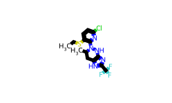 CCSc1ccc(Cl)nc1N1Nc2nc(C(F)(F)F)[nH]c2CC1C